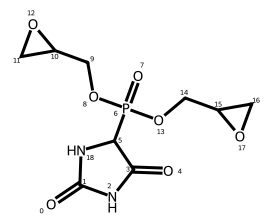 O=C1NC(=O)C(P(=O)(OCC2CO2)OCC2CO2)N1